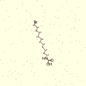 O=C(O)NCCCCCCCCCCCCBr